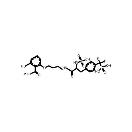 COC(=O)c1c(O)cccc1OCCCCNC(=O)C(Cc1ccc(C(F)(F)P(=O)(O)O)cc1)NS(C)(=O)=O